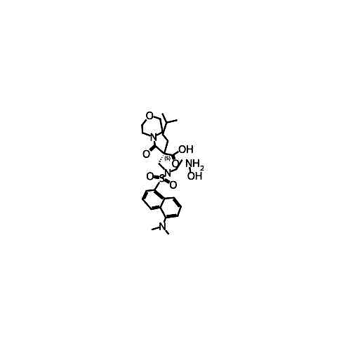 CCN(C[C@](CCC(C)C)(C(=O)O)C(=O)N1CCOCC1)S(=O)(=O)c1cccc2c(N(C)C)cccc12.NO